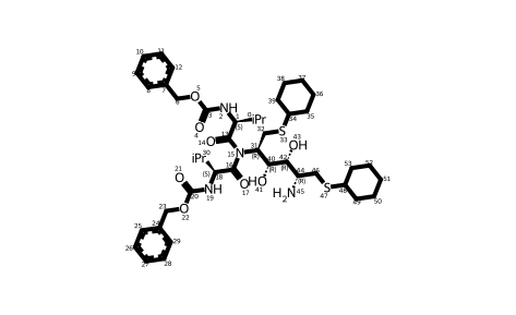 CC(C)[C@H](NC(=O)OCc1ccccc1)C(=O)N(C(=O)[C@@H](NC(=O)OCc1ccccc1)C(C)C)[C@@H](CSC1CCCCC1)[C@@H](O)[C@H](O)[C@@H](N)CSC1CCCCC1